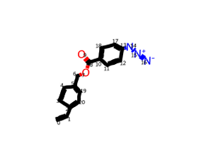 C=Cc1ccc(COC(=O)c2ccc(N=[N+]=[N-])cc2)cc1